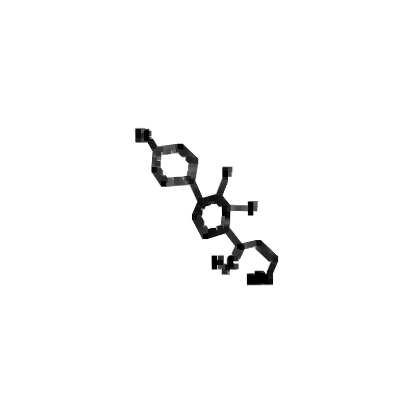 C=C(/C=C\CCCC)c1ccc(-c2ccc(CC)cc2)c(F)c1F